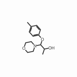 Cc1ccc(OC(C(C)O)N2CCOCC2)cc1